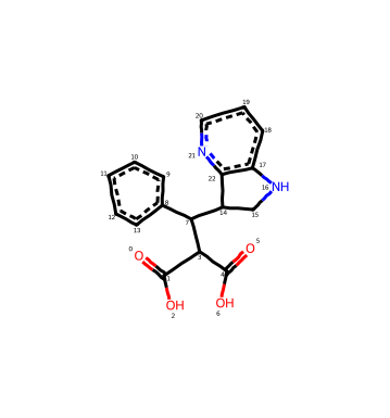 O=C(O)C(C(=O)O)C(c1ccccc1)C1CNc2cccnc21